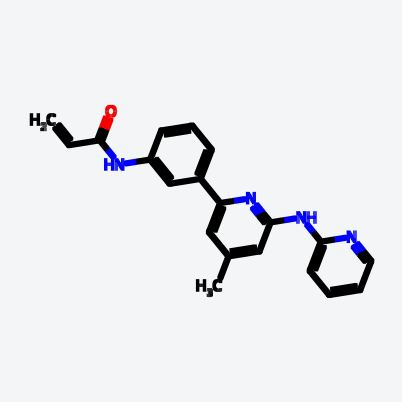 C=CC(=O)Nc1cccc(-c2cc(C)cc(Nc3ccccn3)n2)c1